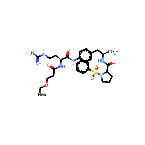 CNCOCCC(=O)N[C@@H](CCNC(=N)N)C(=O)Nc1ccc(C[C@H](NC(=O)C2CCCN2S(=O)(=O)c2ccccc2)C(=O)O)cc1